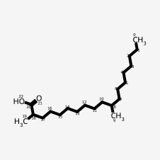 CCCCCCCCC(C)CCCCCCCCC(C)C(=O)O